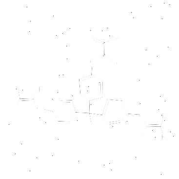 C=C(C)C(=O)Oc1ccc(C(C)(c2ccc(OC(F)=C(F)F)cc2)c2ccc(OC(F)=C(F)F)cc2)cc1